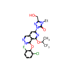 CCn1c(CO)nn(-c2cc3cnnc(Oc4c(F)cccc4Cl)c3c(OC(C)C(F)(F)F)n2)c1=O